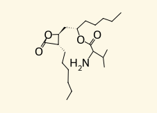 CCCCCC[C@@H]1C(=O)O[C@H]1C[C@H](CCCCC)OC(=O)C(N)C(C)C